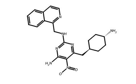 Nc1nc(NCc2nccc3ccccc23)nc(C[C@H]2CC[C@H](N)CC2)c1[N+](=O)[O-]